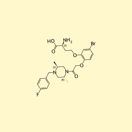 C[C@@H]1CN(Cc2ccc(F)cc2)[C@@H](C)CN1C(=O)COc1ccc(Br)cc1OCC[C@H](N)C(=O)O